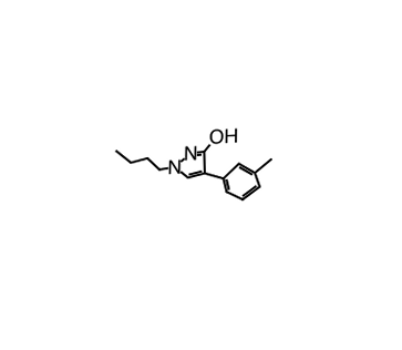 CCCCn1cc(-c2cccc(C)c2)c(O)n1